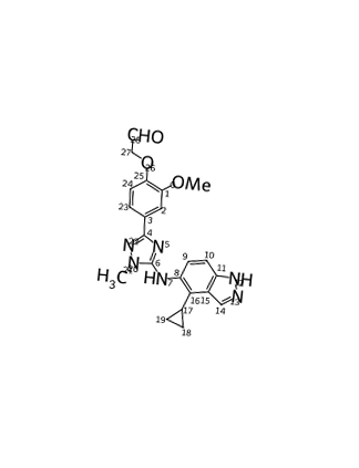 COc1cc(-c2nc(Nc3ccc4[nH]ncc4c3C3CC3)n(C)n2)ccc1OCC=O